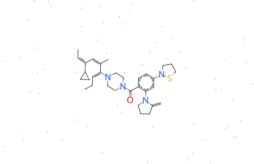 C=C1CCCN1c1cc(N2CCCS2)ccc1C(=O)N1CCN(C(=C\CC)/C(C)=C\C(=C/C)C2CC2)CC1